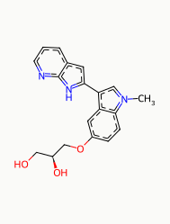 Cn1cc(-c2cc3cccnc3[nH]2)c2cc(OC[C@@H](O)CO)ccc21